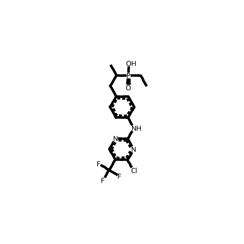 CCP(=O)(O)C(C)Cc1ccc(Nc2ncc(C(F)(F)F)c(Cl)n2)cc1